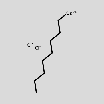 CCCCCCC[CH2][Ga+2].[Cl-].[Cl-]